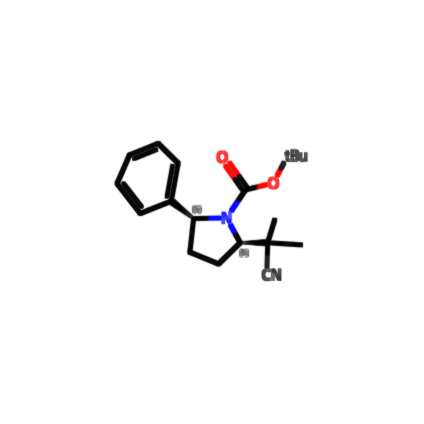 CC(C)(C)OC(=O)N1[C@H](c2ccccc2)CC[C@@H]1C(C)(C)C#N